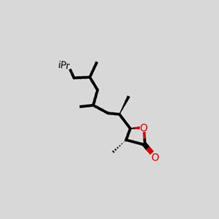 CC(C)CC(C)CC(C)C[C@@H](C)[C@H]1OC(=O)[C@@H]1C